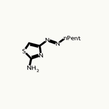 CCCCCN=Nc1csc(N)n1